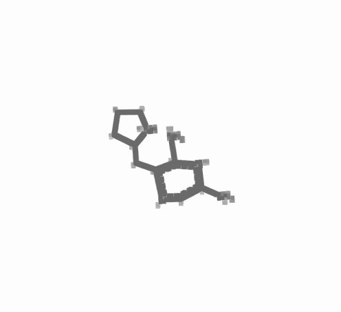 Nc1cnc(CC2CCCN2)c(N)n1